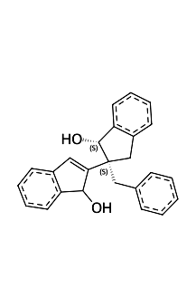 OC1C([C@]2(Cc3ccccc3)Cc3ccccc3[C@H]2O)=Cc2ccccc21